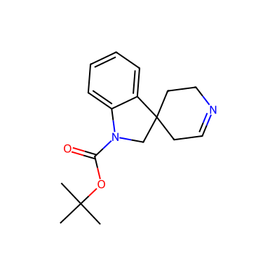 CC(C)(C)OC(=O)N1CC2(CC=NCC2)c2ccccc21